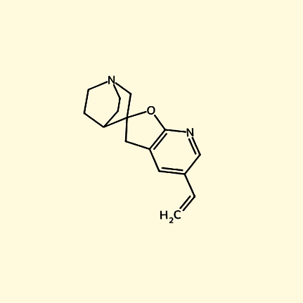 C=Cc1cnc2c(c1)CC1(CN3CCC1CC3)O2